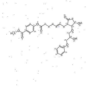 COC(=O)c1ccc(OC(=O)CCC/C=C/CC2C(=O)CC(O)C2OCC(O)COc2ccccc2)cc1